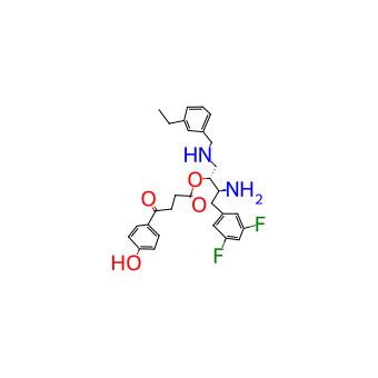 CCc1cccc(CNC[C@@H](OC(=O)CCC(=O)c2ccc(O)cc2)[C@@H](N)Cc2cc(F)cc(F)c2)c1